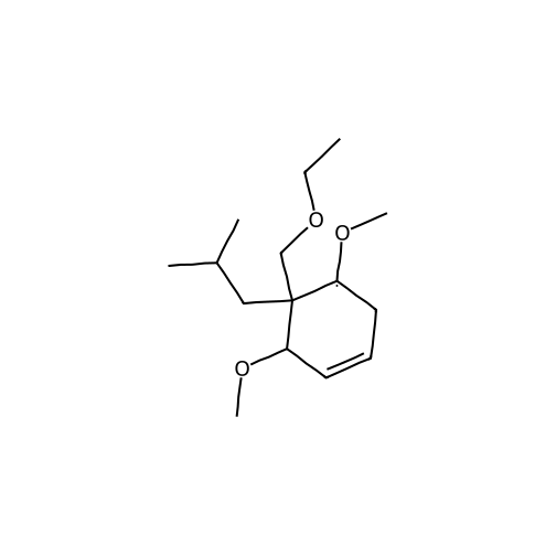 CCOCC1(CC(C)C)[C](OC)CC=CC1OC